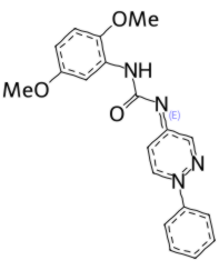 COc1ccc(OC)c(NC(=O)/N=c2\ccn(-c3ccccc3)nc2)c1